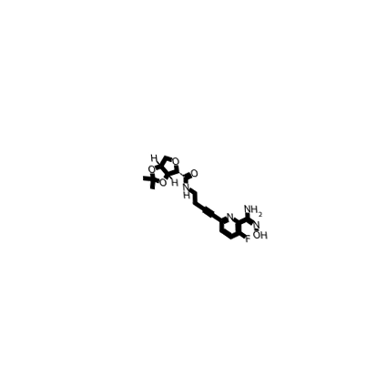 CC1(C)O[C@H]2[C@H](CO[C@@H]2C(=O)NCCC#Cc2ccc(F)c(/C(N)=N\O)n2)O1